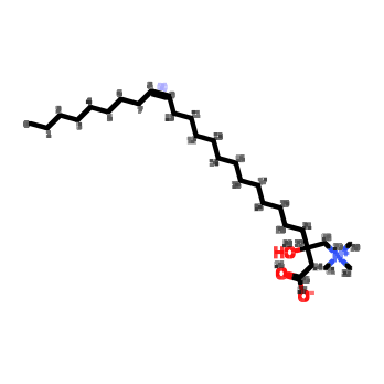 CCCCCCCC/C=C\CCCCCCCCCCCCC(O)(CC(=O)[O-])C[N+](C)(C)C